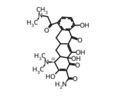 CN(C)CC(=O)c1ccc(O)c2c1CC1CC3[C@H](N(C)C)C(O)=C(C(N)=O)C(=O)C3(O)C(O)=C1C2=O